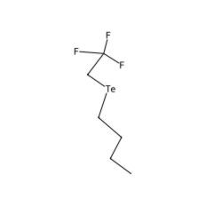 CCCC[Te]CC(F)(F)F